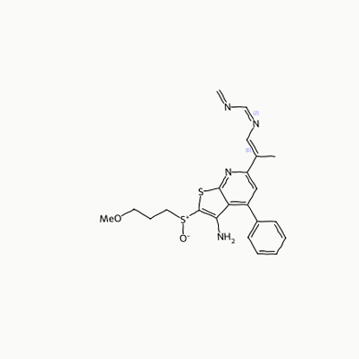 C=N/C=N\C=C(/C)c1cc(-c2ccccc2)c2c(N)c([S+]([O-])CCCOC)sc2n1